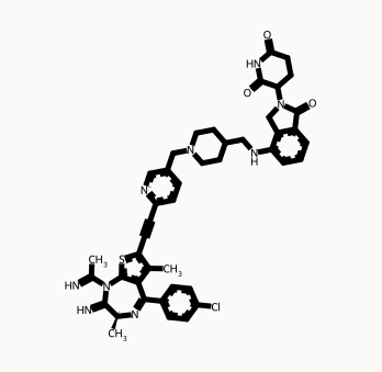 CC(=N)N1C(=N)[C@H](C)N=C(c2ccc(Cl)cc2)c2c1sc(C#Cc1ccc(CN3CCC(CNc4cccc5c4CN(C4CCC(=O)NC4=O)C5=O)CC3)cn1)c2C